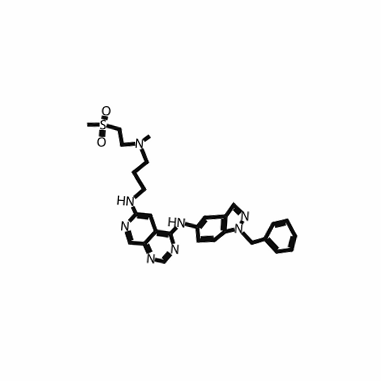 CN(CCCNc1cc2c(Nc3ccc4c(cnn4Cc4ccccc4)c3)ncnc2cn1)CCS(C)(=O)=O